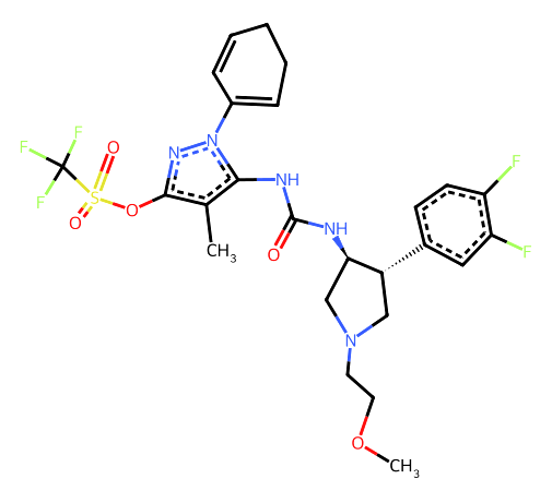 COCCN1C[C@@H](NC(=O)Nc2c(C)c(OS(=O)(=O)C(F)(F)F)nn2C2=CCCC=C2)[C@H](c2ccc(F)c(F)c2)C1